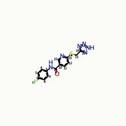 O=C(Nc1ccc(F)cc1)c1ccc(SCc2nn[nH]n2)nc1